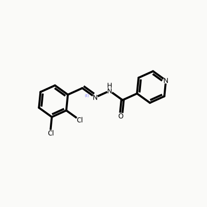 O=C(N/N=C/c1cccc(Cl)c1Cl)c1ccncc1